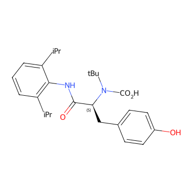 CC(C)c1cccc(C(C)C)c1NC(=O)[C@H](Cc1ccc(O)cc1)N(C(=O)O)C(C)(C)C